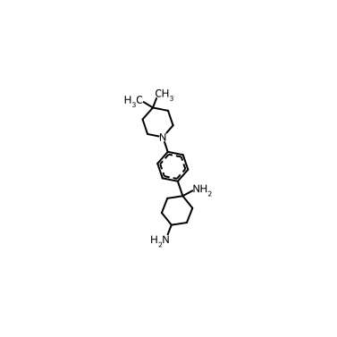 CC1(C)CCN(c2ccc(C3(N)CCC(N)CC3)cc2)CC1